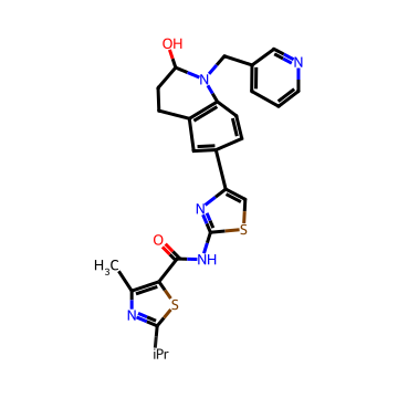 Cc1nc(C(C)C)sc1C(=O)Nc1nc(-c2ccc3c(c2)CCC(O)N3Cc2cccnc2)cs1